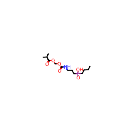 CCCCP(=O)(O)CCCNC(=O)OCOC(=O)C(C)C